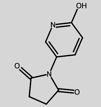 O=C1CCC(=O)N1c1ccc(O)nc1